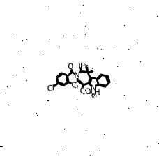 CC(C)C1N(C(=O)c2ccc(Cl)cc2Cl)C=C(C(=O)O)c2[nH]c3ccccc3c2C1(C)C